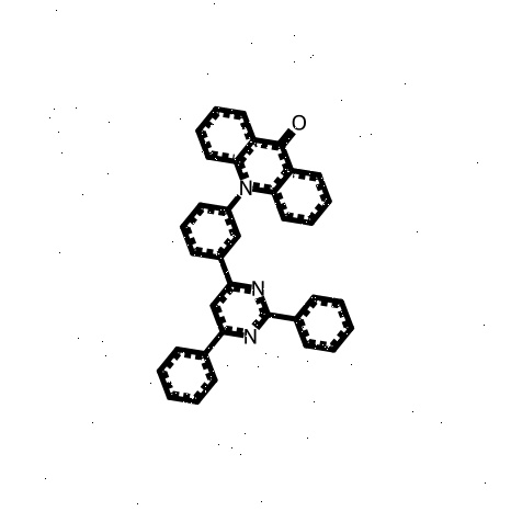 O=c1c2ccccc2n(-c2cccc(-c3cc(-c4ccccc4)nc(-c4ccccc4)n3)c2)c2ccccc12